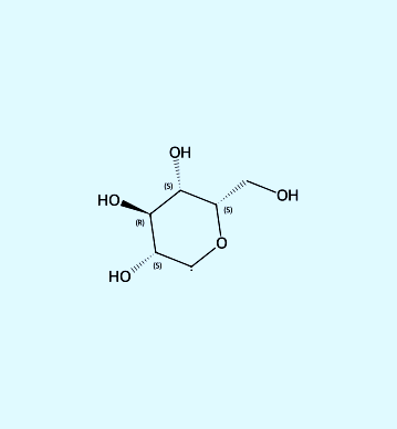 OC[C@@H]1O[CH][C@H](O)[C@@H](O)[C@@H]1O